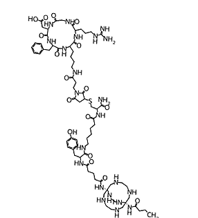 CCCC(=O)N[C@]12CNCCNC[C@](NC(=O)CCCC(=O)NC(Cc3ccc(O)cc3)C(=O)NCCCCCC(=O)NC(CSC3CC(=O)N(CCC(=O)NCCCCC4NC(=O)C(Cc5ccccc5)NC(=O)C(CC(=O)O)NC(=O)CNC(=O)C(CCCNC(=N)N)NC4=O)C3=O)C(N)=O)(CNCCNC1)NCCN2